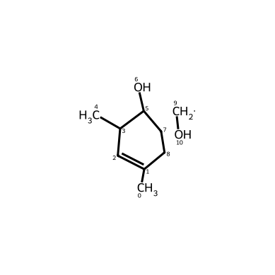 CC1=CC(C)C(O)CC1.[CH2]O